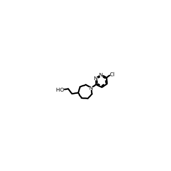 OCCC1CCCN(c2ccc(Cl)nn2)CC1